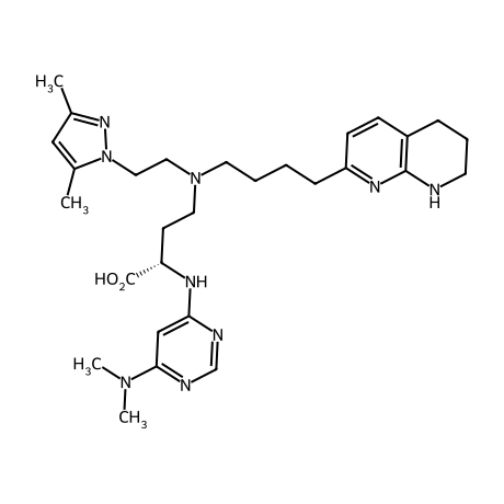 Cc1cc(C)n(CCN(CCCCc2ccc3c(n2)NCCC3)CC[C@H](Nc2cc(N(C)C)ncn2)C(=O)O)n1